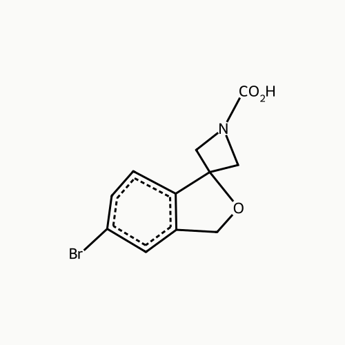 O=C(O)N1CC2(C1)OCc1cc(Br)ccc12